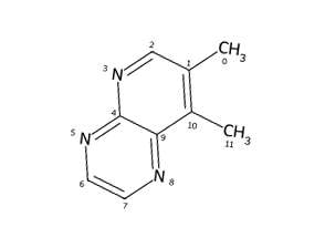 Cc1cnc2nccnc2c1C